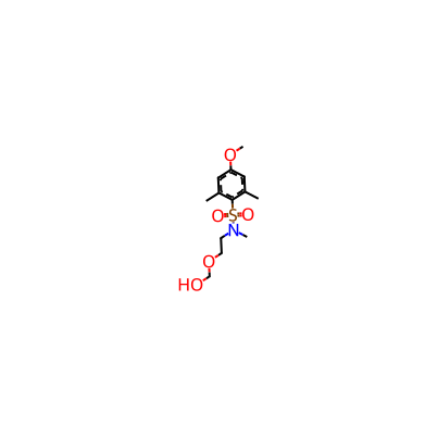 COc1cc(C)c(S(=O)(=O)N(C)CCOCO)c(C)c1